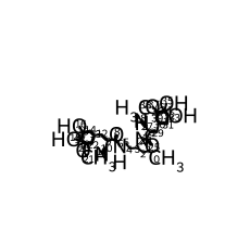 CCCC(CCNC(=O)/C(C#N)=C/c1cc(O)c(O)c(OC)c1)NC(=O)/C(C#N)=C/c1cc(O)c(O)c(OC)c1